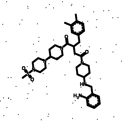 Cc1ccc(CC(CC(=O)N2CCC(NCc3ccccc3N)CC2)C(=O)N2CCC(N3CCN(S(C)(=O)=O)CC3)CC2)cc1C